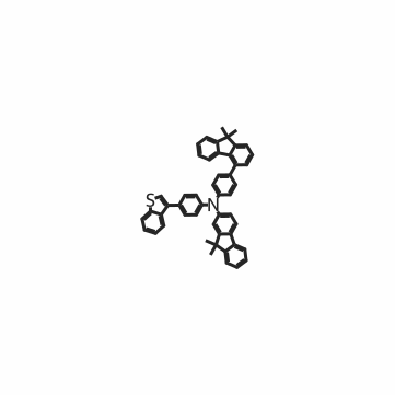 CC1(C)c2ccccc2-c2ccc(N(c3ccc(-c4cccc5c4-c4ccccc4C5(C)C)cc3)c3ccc(-c4csc5ccccc45)cc3)cc21